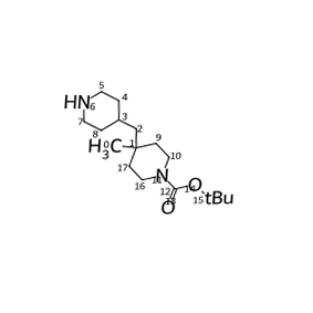 CC1(CC2CCNCC2)CCN(C(=O)OC(C)(C)C)CC1